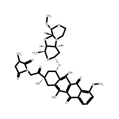 COc1cccc2c1C(=O)c1c(O)c3c(c(O)c1C2=O)C[C@@](O)(C(=O)CN1C(=O)CC(C)C1=O)C[C@@H]3O[C@H]1C[C@H]2[C@H](O[C@@H]3[C@@H](OC)OCCN32)[C@H](C)O1